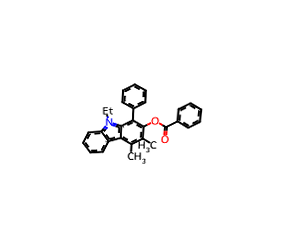 CCn1c2ccccc2c2c(C)c(C)c(OC(=O)c3ccccc3)c(-c3ccccc3)c21